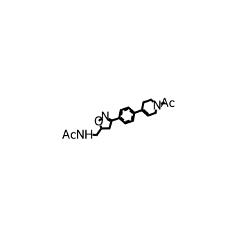 CC(=O)NCC1CC(c2ccc(C3=CCN(C(C)=O)CC3)cc2)=NO1